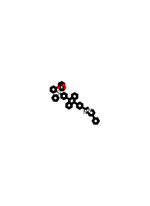 c1ccc(-c2ccn3cc(-c4ccc(-c5c6ccccc6c(-c6ccc([Si](c7ccccc7)(c7ccccc7)c7ccccc7-c7ccccn7)cc6)c6ccccc56)cc4)nc3c2)cc1